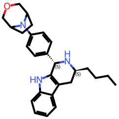 CCCC[C@H]1Cc2c([nH]c3ccccc23)[C@H](c2ccc(N3C4CCC3COC4)cc2)N1